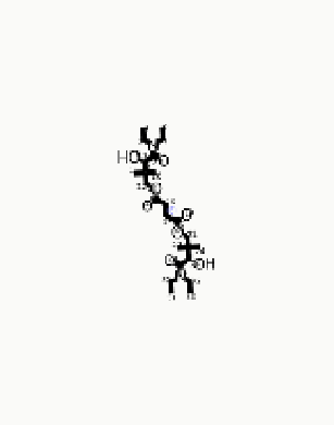 CCN(CC)C(=O)[C@@H](O)C(C)(C)COC(=O)/C=C/C(=O)OCC(C)(C)[C@H](O)C(=O)N(CC)CC